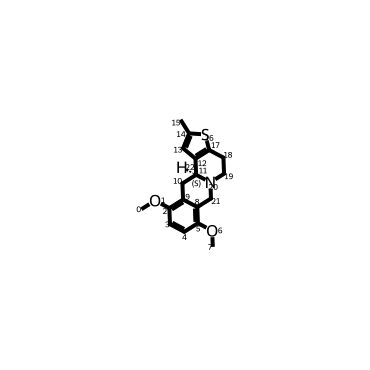 COc1ccc(OC)c2c1C[C@H]1c3cc(C)sc3CCN1C2